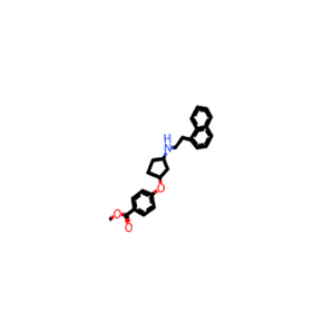 COC(=O)c1ccc(OC2CCC(NCCc3cccc4ccccc34)C2)cc1